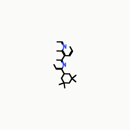 C\C=C/C(C(/C)=N/C(=C\C)C1CC(C)(C)CC(C)(C)C1)=C(C)\N=C/C